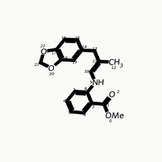 COC(=O)c1ccccc1NC=C(C)Cc1ccc2c(c1)OCO2